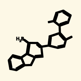 Bc1cc(-c2ccc(C)c(-c3ccccc3C)c2)cc2c1-c1ccccc1C2